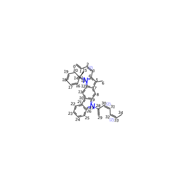 C=C/C=C\c1c(C)c2cc3c(cc2n1[C@]1(C)C=CC=CC1)c1ccccc1n3C(=C)/C=C\C=C/C